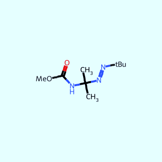 COC(=O)NC(C)(C)N=NC(C)(C)C